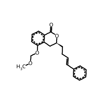 COCOc1cccc2c1C[C@H](CC/C=C/c1ccccc1)OC2=O